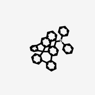 c1ccc(N(Cc2ccc3c(c2)C2(c4ccccc4-c4ccccc4-3)c3ccccc3-c3cc4ccccc4cc32)c2ccccc2)cc1